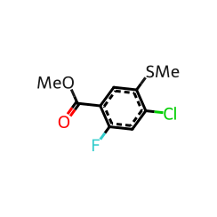 COC(=O)c1cc(SC)c(Cl)cc1F